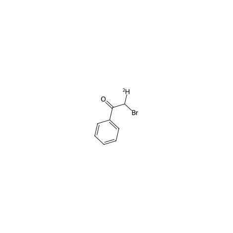 [2H]C(Br)C(=O)c1ccccc1